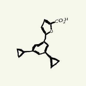 O=C(O)c1ccc(-c2cc(C3CC3)cc(C3CC3)c2)o1